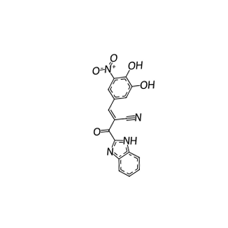 N#C/C(=C\c1cc(O)c(O)c([N+](=O)[O-])c1)C(=O)c1nc2ccccc2[nH]1